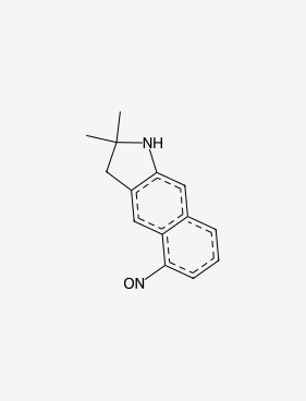 CC1(C)Cc2cc3c(N=O)cccc3cc2N1